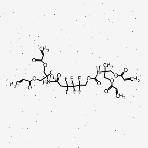 C=CC(=O)OCC(C)(COC(=O)C=C)NC(=O)CC(F)(F)C(F)(F)C(F)(F)COC(=O)NC(C)(COC(=O)C=C)COC(=O)C=C